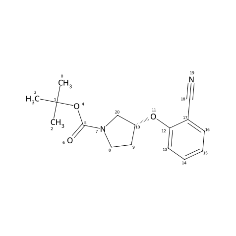 CC(C)(C)OC(=O)N1CC[C@@H](Oc2ccccc2C#N)C1